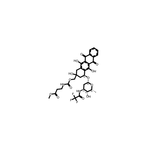 COC(=O)CCNC(=O)OCC1(O)Cc2c(O)c3c(c(O)c2[C@@H](O[C@H]2C[C@H](NC(=O)C(F)(F)F)[C@@H](O)[C@@H](C)O2)C1)C(=O)c1ccccc1C3=O